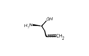 C=C[C@@H](N)O